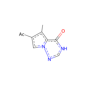 CC(=O)c1cn2nc[nH]c(=O)c2c1C